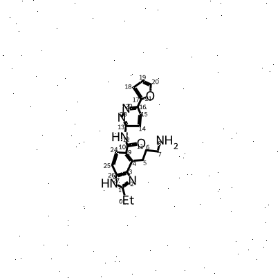 CCc1nc2c(CCCN)c(C(=O)Nc3ccc(-c4ccco4)nn3)ccc2[nH]1